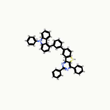 c1ccc(-c2nc(-c3ccccc3)c3sc4ccc(-c5cccc(-c6cccc7c6c6ccccc6n7-c6ccccc6)c5)cc4c3n2)cc1